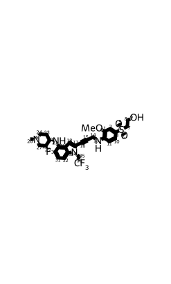 COc1cc(S(=O)(=O)CCO)ccc1NCC#Cc1cc2c(N[C@@H]3CCN(C)C[C@@H]3F)cccc2n1CC(F)(F)F